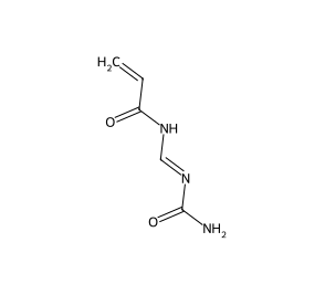 C=CC(=O)NC=NC(N)=O